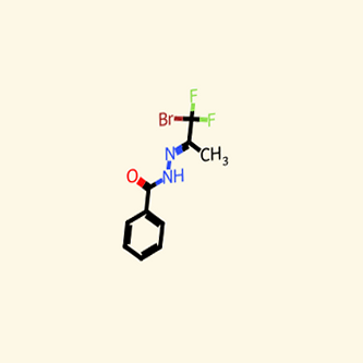 C/C(=N\NC(=O)c1ccccc1)C(F)(F)Br